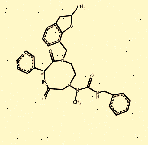 CC1Cc2cccc(CN3CCN(N(C)C(=O)NCc4ccccc4)CC(=O)N[C@@H](c4ccccc4)C3=O)c2O1